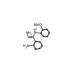 COc1ccccc1N/C(=C\N)c1ccccc1N